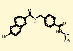 CCCNNC(=O)c1ccc(CNC(=O)c2ccc3cc(O)ccc3c2)cc1